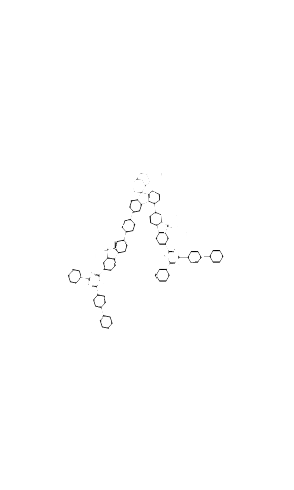 CC1CC2CC(C)C3(c4ccc(-c5ccc(-c6ccc7c(c6)C(C)(C)c6cc(-c8nc(-c9ccccc9)nc(-c9ccc(-c%10ccccc%10)cc9)n8)ccc6-7)cc5)cc4-c4c(-c5ccc6c(c5)C(C)(C)c5cc(-c7nc(-c8ccccc8)nc(-c8ccc(-c9ccccc9)cc8)n7)ccc5-6)cccc43)C(C1)C2